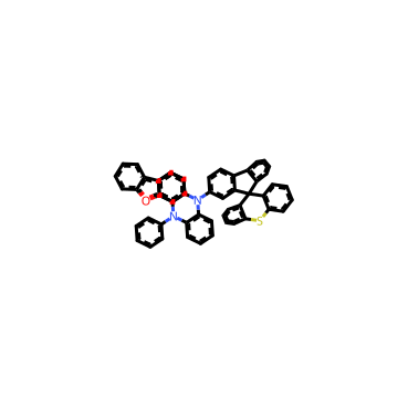 c1ccc(N(c2ccccc2)c2ccccc2N(c2ccc3c(c2)C2(c4ccccc4Sc4ccccc42)c2ccccc2-3)c2ccc3c(c2)oc2ccccc23)cc1